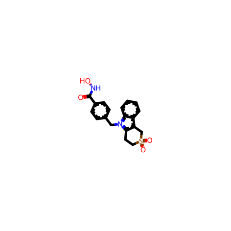 O=C(NO)c1ccc(Cn2c3c(c4ccccc42)CS(=O)(=O)CC3)cc1